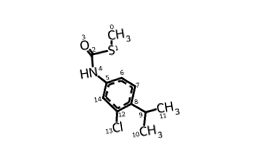 CSC(=O)Nc1ccc(C(C)C)c(Cl)c1